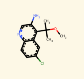 COC(C)(C)c1c(N)cnc2ccc(Cl)cc12